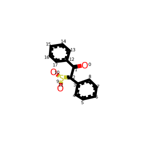 O=C(C(c1ccccc1)=S(=O)=O)c1ccccc1